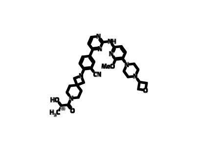 COc1nc(Nc2nccc(-c3ccc(N4CC5(CCN(C(=O)[C@H](C)O)CC5)C4)c(C#N)c3)n2)ccc1N1CCN(C2COC2)CC1